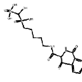 O=C1NC(C(=O)NCCCCCP(=O)(O)C(O)P(=O)(O)O)C(=O)c2ccccc21